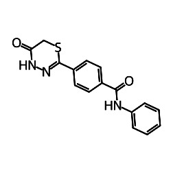 O=C1CSC(c2ccc(C(=O)Nc3ccccc3)cc2)=NN1